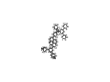 c1ccc(-c2cc(-c3ccccc3)cc(N(c3ccccc3)c3ccc(-c4ccc5ccc6c(-c7cc(-c8ccncc8)cc(-c8ccncc8)c7)ccc7ccc4c5c76)cc3)c2)cc1